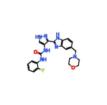 O=C(Nc1ccccc1F)Nc1c[nH]nc1-c1nc2cc(CN3CCOCC3)ccc2[nH]1